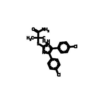 CC(C)(Sc1nc(-c2ccc(Cl)cc2)c(-c2ccc(Cl)cc2)[nH]1)C(N)=O